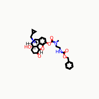 CN(CCNC(=O)OCc1ccccc1)C(=O)Oc1ccc2c3c1O[C@H]1C(=O)CC[C@@]4(O)[C@@H](C2)N(CC2CC2)CC[C@]314